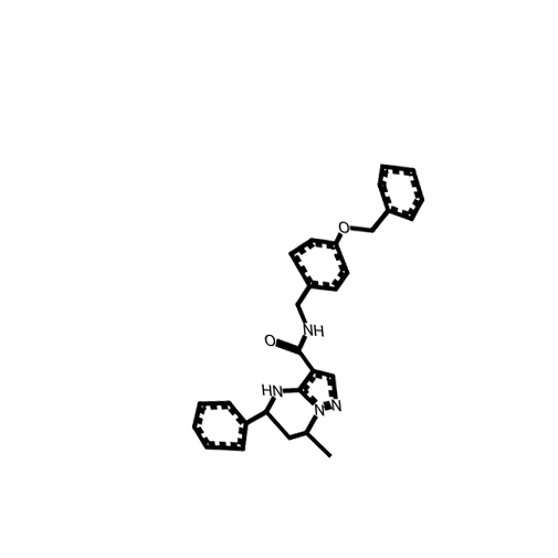 CC1CC(c2ccccc2)Nc2c(C(=O)NCc3ccc(OCc4ccccc4)cc3)cnn21